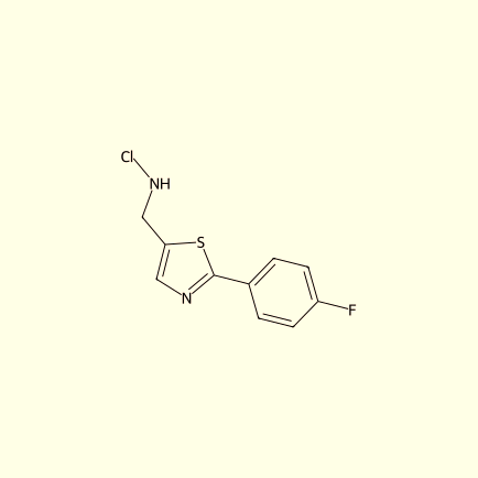 Fc1ccc(-c2ncc(CNCl)s2)cc1